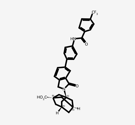 O=C(Nc1ccc(-c2ccc3c(c2)C(=O)N([C@@]24C[C@@H]5C[C@@H](C[C@@](C(=O)O)(C5)C2)C4)C3)cc1)c1ccc(C(F)(F)F)cc1